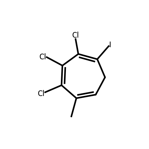 CC1=CCC(I)=C(Cl)C(Cl)=C1Cl